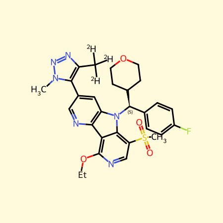 [2H]C([2H])([2H])c1nnn(C)c1-c1cnc2c3c(OCC)ncc(S(C)(=O)=O)c3n([C@H](c3ccc(F)cc3)C3CCOCC3)c2c1